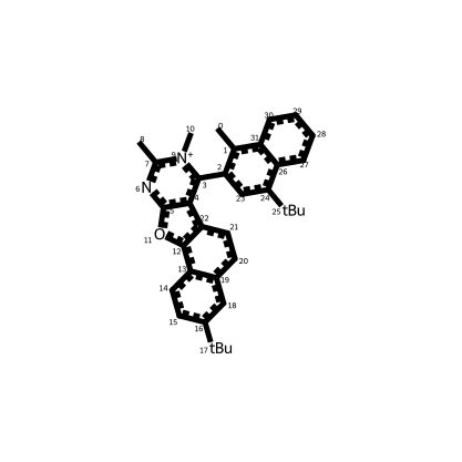 Cc1c(-c2c3c(nc(C)[n+]2C)oc2c4ccc(C(C)(C)C)cc4ccc23)cc(C(C)(C)C)c2ccccc12